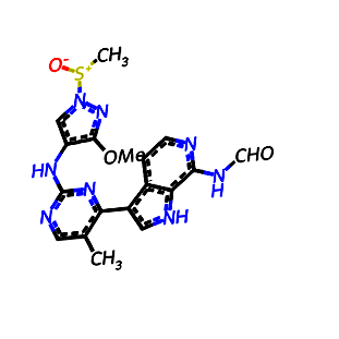 COc1nn([S+](C)[O-])cc1Nc1ncc(C)c(-c2c[nH]c3c(NC=O)nccc23)n1